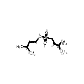 CC(C)CCOS(=O)(=O)CCC(C)C